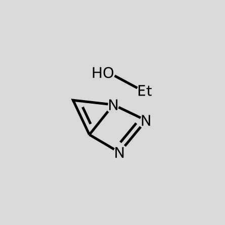 CCO.c1c2nnn1-2